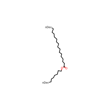 CCCCCCCCCCCCCCCCCCCCCCCCCC(=O)OCCCCCCCCCCCCCCCCC